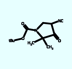 [C-]#[N+]C1CN(C(=O)OC(C)(C)C)C(C)(C)C1=O